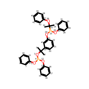 CC(C)(OP(Oc1ccccc1)Oc1ccccc1)c1cccc(OP(Oc2ccccc2)C(C)(C)Oc2ccccc2)c1